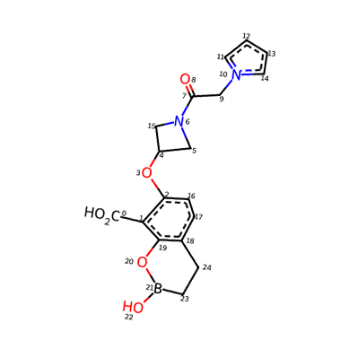 O=C(O)c1c(OC2CN(C(=O)Cn3cccc3)C2)ccc2c1OB(O)CC2